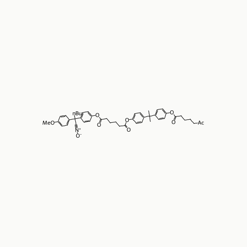 CCCCC(C#[N+][O-])(c1ccc(OC)cc1)c1ccc(OC(=O)CCCCC(=O)Oc2ccc(C(C)(C)c3ccc(OC(=O)CCCCC(C)=O)cc3)cc2)cc1